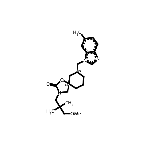 COCC(C)(C)CN1C[C@@]2(CCC[C@H](Cn3cnc4ccc(C)cc43)C2)OC1=O